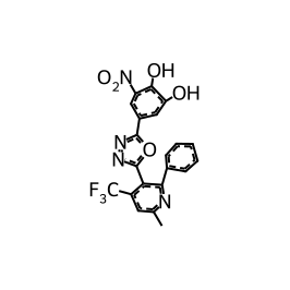 Cc1cc(C(F)(F)F)c(-c2nnc(-c3cc(O)c(O)c([N+](=O)[O-])c3)o2)c(-c2ccccc2)n1